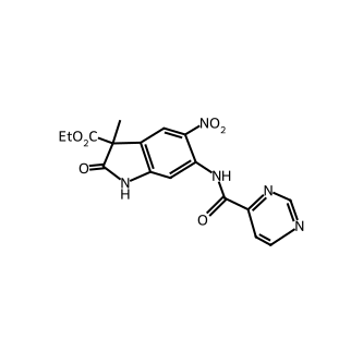 CCOC(=O)C1(C)C(=O)Nc2cc(NC(=O)c3ccncn3)c([N+](=O)[O-])cc21